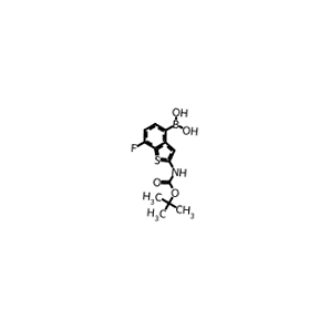 CC(C)(C)OC(=O)Nc1cc2c(B(O)O)ccc(F)c2s1